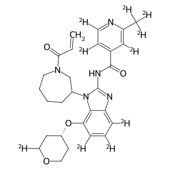 [2H]c1nc(C([2H])([2H])[2H])c([2H])c(C(=O)Nc2nc3c([2H])c([2H])c([2H])c(O[C@@H]4CCOC([2H])C4)c3n2C2CCCCN(C(=O)C=C)C2)c1[2H]